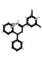 Cc1cc(/C(CC(c2ccccc2)c2ccccn2)=N/O)cc(C)n1